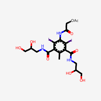 CC(=O)OCC(=O)Nc1c(I)c(C(=O)NCC(O)CO)c(C)c(C(=O)NCC(O)CO)c1I